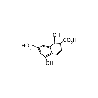 O=C(O)c1ccc2c(O)cc(S(=O)(=O)O)cc2c1O